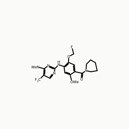 CNc1nc(Nc2cc(OC)c(C(=O)N3CCCCC3)cc2OCF)ncc1C(F)(F)F